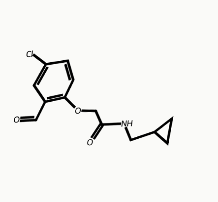 O=Cc1cc(Cl)ccc1OCC(=O)NCC1CC1